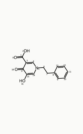 O=C(O)c1cn(CCc2ccccc2)cc(O)c1=O